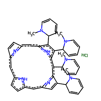 CN1C=CC=CC1C1=Cc2cc3ccc(cc4nc(cc5[nH]c(c(C6C=CC=CN6C)c1n2)c(C1C=CC=CN1C)c5C1C=CC=CN1C)C=C4)[nH]3.Cl